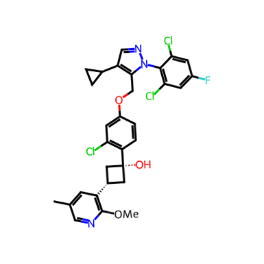 COc1ncc(C)cc1[C@H]1C[C@](O)(c2ccc(OCc3c(C4CC4)cnn3-c3c(Cl)cc(F)cc3Cl)cc2Cl)C1